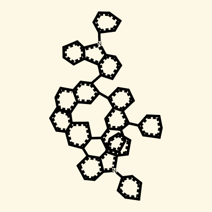 c1ccc(-c2c3cccc(-c4cc5ccccc5cc4-c4cccc5c4c4ccccc4n5-c4ccccc4)c3cc3c(-c4cc5ccccc5cc4-c4cccc5c4c4ccccc4n5-c4ccccc4)cccc23)cc1